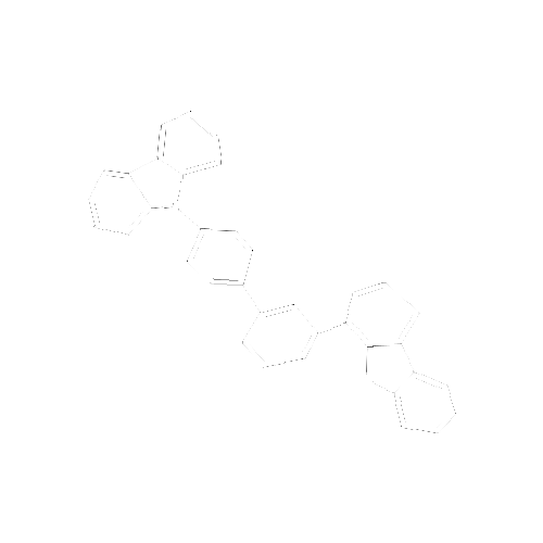 c1cc(-c2ccc(-n3c4ccccc4c4ccccc43)cc2)cc(-c2cccc3c2sc2ccccc23)c1